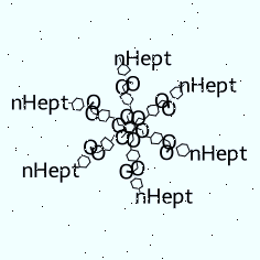 CCCCCCC[C@H]1CC[C@H](C(=O)OC2CCC(COc3c(OCC4CCC(OC(=O)[C@H]5CC[C@H](CCCCCCC)CC5)CC4)c(OCC4CCC(OC(=O)[C@H]5CC[C@H](CCCCCCC)CC5)CC4)c(OCC4CCC(OC(=O)[C@H]5CC[C@H](CCCCCCC)CC5)CC4)c(OCC4CCC(OC(=O)[C@H]5CC[C@H](CCCCCCC)CC5)CC4)c3OCC3CCC(OC(=O)[C@H]4CC[C@H](CCCCCCC)CC4)CC3)CC2)CC1